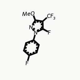 COc1nn(-c2ccc(F)cc2)c(F)c1C(F)(F)F